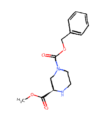 COC(=O)[C@H]1CN(C(=O)OCc2ccccc2)CCN1